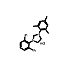 Cc1cc(C)c(N2CCN(c3c(C(C)C)cccc3C(C)C)C2)c(C)c1.Cl